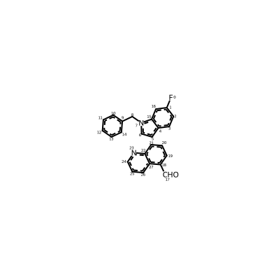 Fc1ccc2ccn(Cc3ccccc3)c2c1.O=Cc1cccc2ncccc12